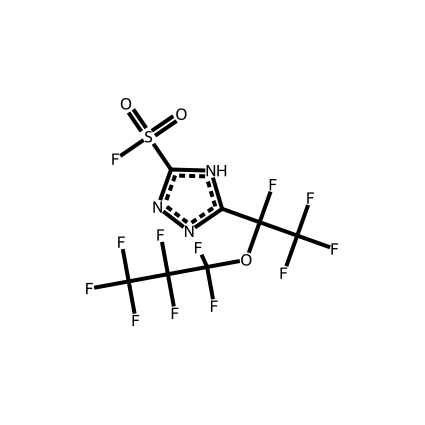 O=S(=O)(F)c1nnc(C(F)(OC(F)(F)C(F)(F)C(F)(F)F)C(F)(F)F)[nH]1